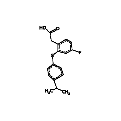 CC(C)c1ccc(Sc2cc(F)ccc2CC(=O)O)cc1